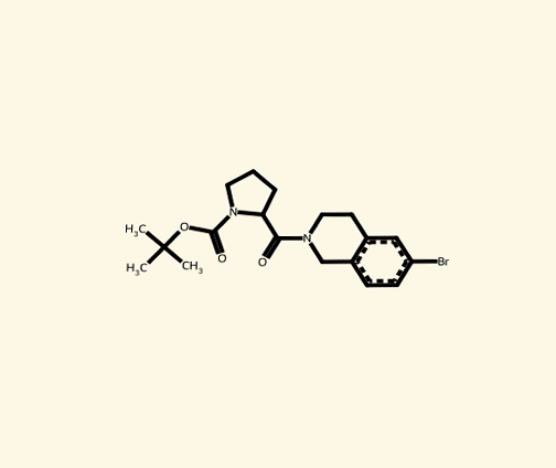 CC(C)(C)OC(=O)N1CCCC1C(=O)N1CCc2cc(Br)ccc2C1